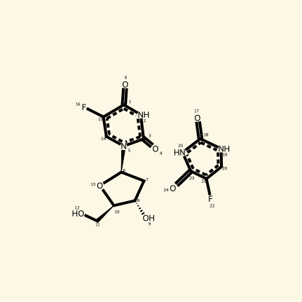 O=c1[nH]c(=O)n([C@H]2C[C@H](O)[C@@H](CO)O2)cc1F.O=c1[nH]cc(F)c(=O)[nH]1